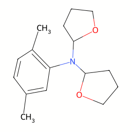 Cc1ccc(C)c(N(C2CCCO2)C2CCCO2)c1